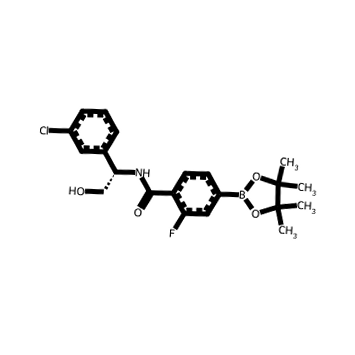 CC1(C)OB(c2ccc(C(=O)N[C@H](CO)c3cccc(Cl)c3)c(F)c2)OC1(C)C